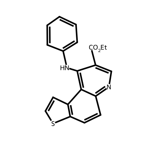 CCOC(=O)c1cnc2ccc3sccc3c2c1Nc1ccccc1